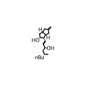 C=C1C[C@H]2C[C@@H](O)[C@H](C=C[C@@H](O)C[C@H](C)CCCC)[C@@H]2C1